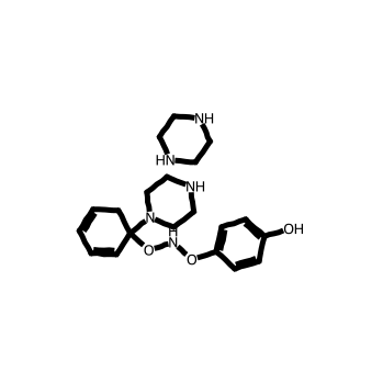 C1CNCCN1.Oc1ccc(ONOC2(N3CCNCC3)C=CC=CC2)cc1